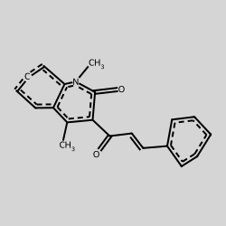 Cc1c(C(=O)/C=C/c2ccccc2)c(=O)n(C)c2ccccc12